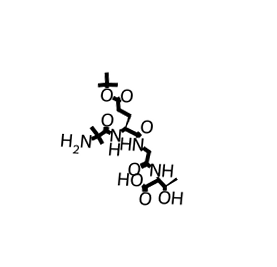 C[C@@H](O)[C@H](NC(=O)CNC(=O)[C@H](CCC(=O)OC(C)(C)C)NC(=O)C(C)(C)N)C(=O)O